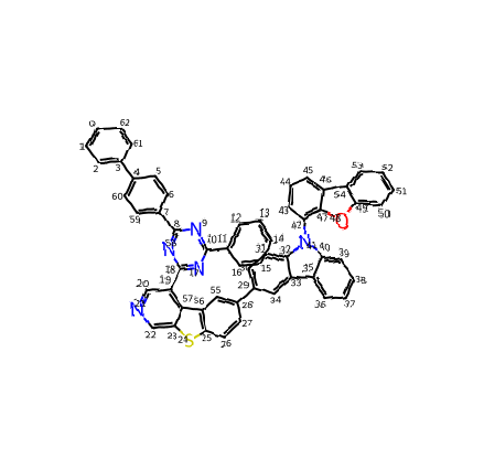 c1ccc(-c2ccc(-c3nc(-c4ccccc4)nc(-c4cncc5sc6ccc(-c7ccc8c(c7)c7ccccc7n8-c7cccc8c7oc7ccccc78)cc6c45)n3)cc2)cc1